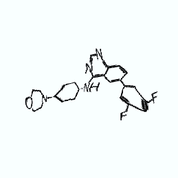 Fc1cc(F)cc(-c2ccc3ncnc(N[C@H]4CC[C@H](N5CCOCC5)CC4)c3c2)c1